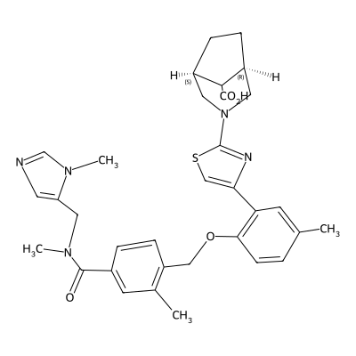 Cc1ccc(OCc2ccc(C(=O)N(C)Cc3cncn3C)cc2C)c(-c2csc(N3C[C@H]4CC[C@@H](C3)C4C(=O)O)n2)c1